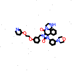 O=C(c1c(-c2ccccc2)n(-c2cccc(N3CCOCC3)c2)c(=O)n1Cc1cccc(OCCOc2cccnc2)c1)N1CCNCC1